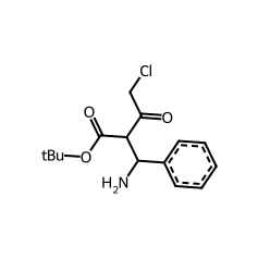 CC(C)(C)OC(=O)C(C(=O)CCl)C(N)c1ccccc1